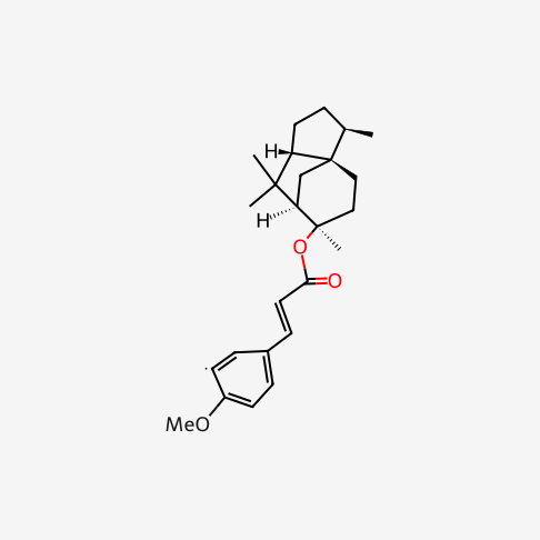 COc1[c]cc(/C=C/C(=O)O[C@]2(C)CC[C@@]34C[C@@H]2C(C)(C)[C@@H]3CC[C@H]4C)cc1